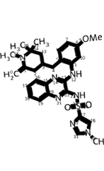 C=C1CC(Cc2ccc(OC)cc2Nc2nc3ccccc3nc2NS(=O)(=O)c2cn(C)cn2)CC(C)(C)N1C